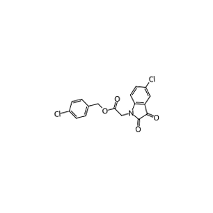 O=C(CN1C(=O)C(=O)c2cc(Cl)ccc21)OCc1ccc(Cl)cc1